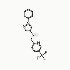 FC(F)(F)c1ccc(CNc2cnn(-c3ccccc3)c2)nc1